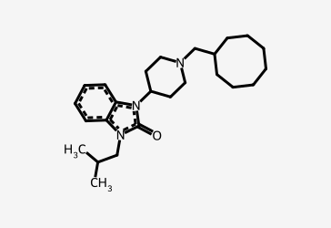 CC(C)Cn1c(=O)n(C2CCN(CC3CCCCCCC3)CC2)c2ccccc21